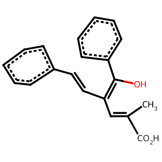 CC(=CC(C=Cc1ccccc1)=C(O)c1ccccc1)C(=O)O